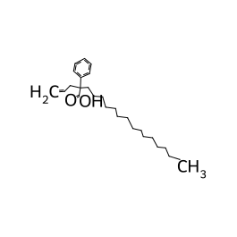 C=CCC(CCCCCCCCCCCCCCCC)(C(=O)O)c1ccccc1